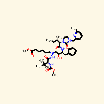 CC[C@H](C)[C@@H](C(=O)N[C@@H](Cc1ccccc1)[C@@H](O)CN(CCCCCC(=O)OC)NC(=O)[C@@H](NC(=O)OC)C(C)(C)C)N1CCN(Cc2cccc(C)n2)C1=O